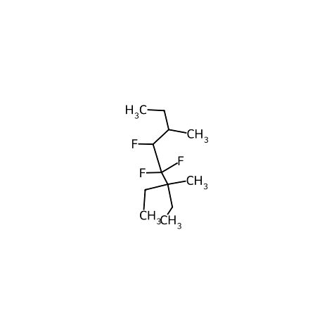 CCC(C)C(F)C(F)(F)C(C)(CC)CC